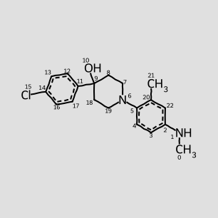 CNc1ccc(N2CCC(O)(c3ccc(Cl)cc3)CC2)c(C)c1